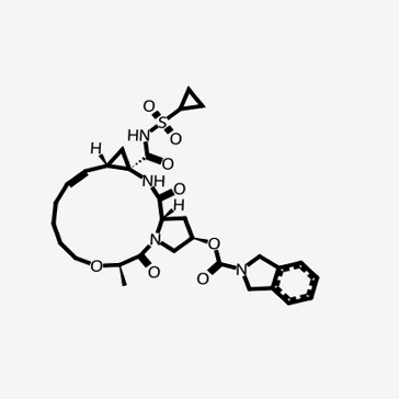 C[C@H]1OCCCC/C=C\[C@@H]2C[C@@]2(C(=O)NS(=O)(=O)C2CC2)NC(=O)[C@@H]2C[C@@H](OC(=O)N3Cc4ccccc4C3)CN2C1=O